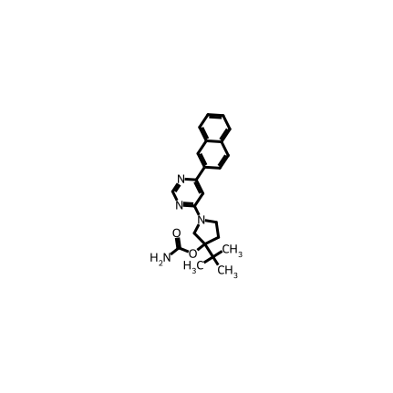 CC(C)(C)C1(OC(N)=O)CCN(c2cc(-c3ccc4ccccc4c3)ncn2)C1